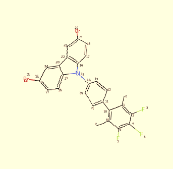 Cc1c(F)c(F)c(F)c(C)c1-c1ccc(-n2c3ccc(Br)cc3c3cc(Br)ccc32)cc1